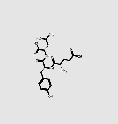 CC(C)C[C@H](NC(=O)[C@H](Cc1ccc(O)cc1)NC(=O)[C@@H](N)CCC(=O)O)C(=O)O